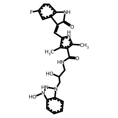 Cc1[nH]c(C=C2C(=O)Nc3ccc(F)cc32)c(C)c1C(=O)NCC(O)CN1NN(O)c2ccccc21